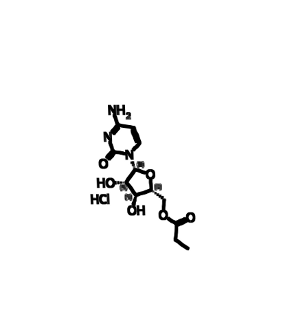 CCC(=O)OC[C@H]1O[C@@H](n2ccc(N)nc2=O)[C@@H](O)[C@@H]1O.Cl